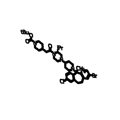 CC(C)[C@H]1CN(C2CCN(C3(C)c4ccc(Cl)cc4CCc4cc(Br)cnc43)CC2)CCN1C(=O)CC1CCN(C(=O)OC(C)(C)C)CC1